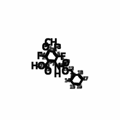 COc1c(F)c(F)c(NC(=O)OCc2ccccc2)c(C(=O)O)c1F